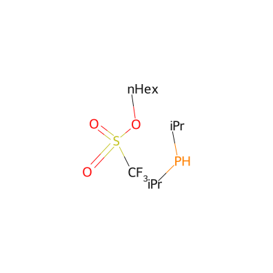 CC(C)PC(C)C.CCCCCCOS(=O)(=O)C(F)(F)F